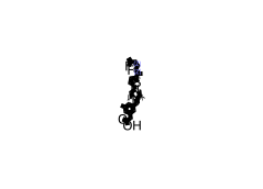 C=C(F)/C=C\C(F)=C(/C)c1ccc(N2C[C@@H](C)N(Cc3cc(C)cc(CC(=O)O)c3)[C@@H](C)C2)s1